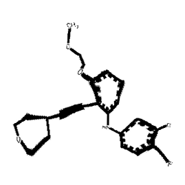 COCOc1cccc(Nc2ccc(F)c(Cl)c2)c1C#CC1CCOCC1